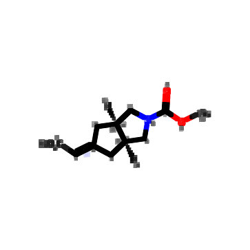 CCOC(=O)/C=C1/C[C@@H]2CN(C(=O)OC(C)(C)C)C[C@@H]2C1